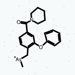 C[As](C)Cc1ccc(C(=O)N2CCCCC2)cc1Oc1ccccc1